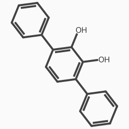 Oc1c(-c2ccccc2)ccc(-c2ccccc2)c1O